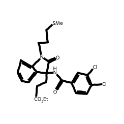 CCOC(=O)CCC1(NC(=O)c2ccc(Cl)c(Cl)c2)C(=O)N(CCCSC)c2ccccc21